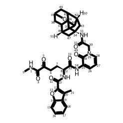 CNC(=O)C(=O)CC[C@H](NC(=O)c1oc2ccccc2c1C)C(=O)Nc1cccn(CC(=O)N[C@]23CC4C5CC6CC4[C@H](C2)C(C6)[C@@H]5C3)c1=O